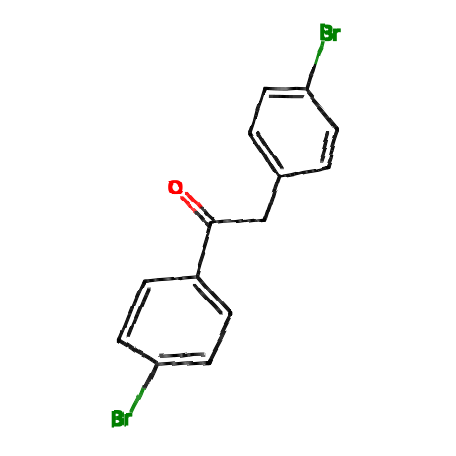 O=C(Cc1ccc(Br)cc1)c1ccc(Br)cc1